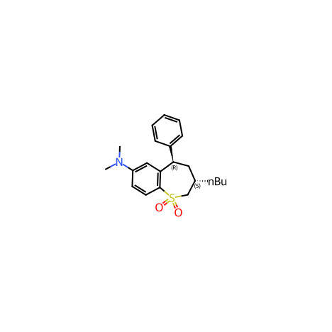 CCCC[C@H]1C[C@H](c2ccccc2)c2cc(N(C)C)ccc2S(=O)(=O)C1